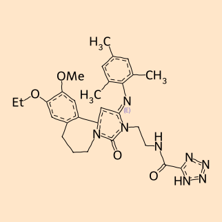 CCOc1cc2c(cc1OC)-c1c/c(=N\c3c(C)cc(C)cc3C)n(CCNC(=O)c3nnn[nH]3)c(=O)n1CCC2